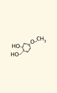 CCOc1ccc(CO)c(O)c1